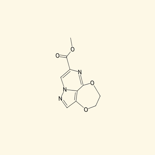 COC(=O)c1cn2ncc3c2c(n1)OCCO3